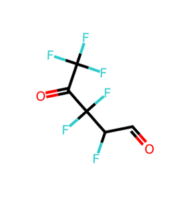 O=CC(F)C(F)(F)C(=O)C(F)(F)F